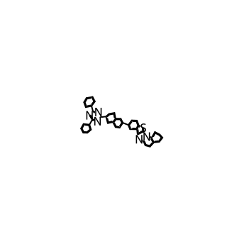 c1ccc(-c2nc(-c3ccccc3)nc(-c3ccc4cc(-c5ccc6sc7c(nc8ccc9ccccc9n87)c6c5)ccc4c3)n2)cc1